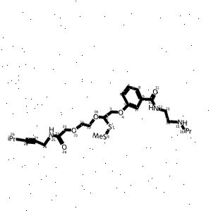 CSSC(COc1cccc(C(=O)NCCNC(C)C)c1)OCCOCC(=O)NCC#CC(C)C